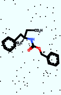 O=C(O)C[C@](Cc1ccccc1)(NC(=O)OCc1ccccc1)C(=O)O